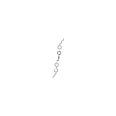 CCCCC[C@H]1CC[C@H](c2ccc(C#CC=C[C@H]3CC[C@H]([C@H]4CC[C@H](CCCC)CC4)CC3)cc2)CC1